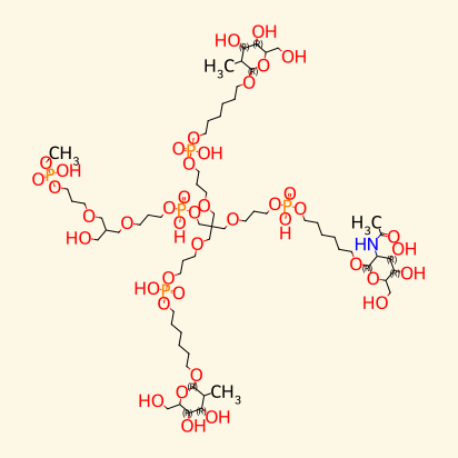 COP(=O)(O)OCCCOCC(CO)COCCCOP(=O)(O)OCC(COCCCOP(=O)(O)OCCCCCCO[C@@H]1OC(CO)[C@H](O)[C@H](O)C1C)(COCCCOP(=O)(O)OCCCCCCO[C@@H]1OC(CO)[C@H](O)[C@H](O)C1C)COCCCOP(=O)(O)OCCCCCCO[C@@H]1OC(CO)[C@H](O)[C@H](O)C1NC(C)=O